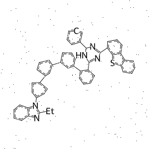 CCc1nc2ccccc2n1-c1ccc(-c2cccc(-c3cccc(-c4ccccc4C4=NC(c5cccc6c5sc5ccccc56)=NC(c5ccccc5)N4)c3)c2)cc1